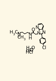 CN(C)CCCNC(=O)Cn1c(-c2ccc(Cl)cc2)nc2cccnc21.Cl.Cl.O